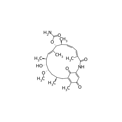 CO[C@H]1C[C@H](C)CC2=C(C)C(=O)C=C(NC(=O)/C(C)=C/C=C\[C@H](C)[C@@H](OC(N)=O)/C(C)=C/[C@H](C)[C@H]1O)C2=O